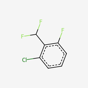 Fc1cccc(Cl)c1C(F)F